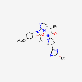 CCOc1cncc(-c2ccc(NC(=O)C(c3ccnc(N(Cc4ccc(OC)cc4)S(=O)(=O)C4CC4)n3)C(C)C)nc2)n1